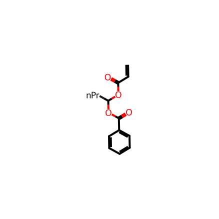 C=CC(=O)OC(CCC)OC(=O)c1ccccc1